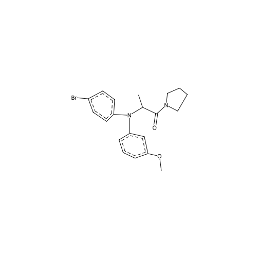 COc1cccc(N(c2ccc(Br)cc2)C(C)C(=O)N2CCCC2)c1